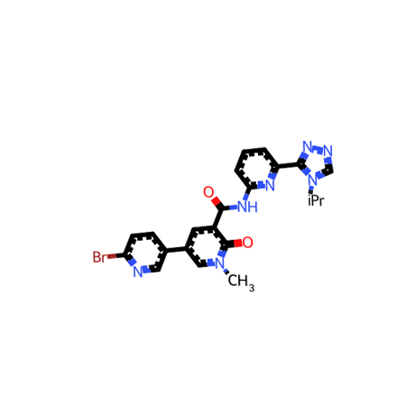 CC(C)n1cnnc1-c1cccc(NC(=O)c2cc(-c3ccc(Br)nc3)cn(C)c2=O)n1